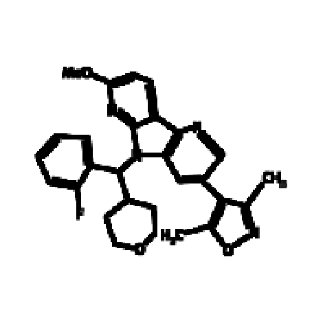 COc1ccc2c3ncc(-c4c(C)noc4C)cc3n(C(c3ccccc3F)C3CCOCC3)c2n1